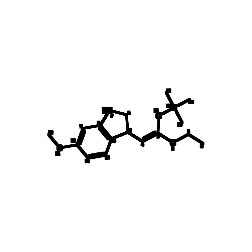 CCOC(=CC1CNc2cc(OC)ccc21)O[Si](C)(C)C